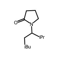 CCC(C)CC(C(C)C)N1CCCC1=O